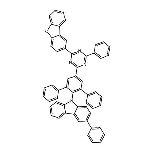 c1ccc(-c2ccc3c(c2)c2ccccc2n3-c2c(-c3ccccc3)cc(-c3nc(-c4ccccc4)nc(-c4ccc5oc6ccccc6c5c4)n3)cc2-c2ccccc2)cc1